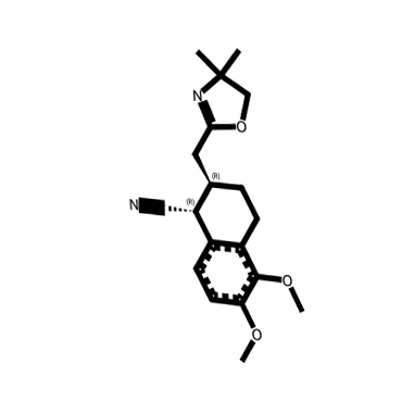 COc1ccc2c(c1OC)CC[C@H](CC1=NC(C)(C)CO1)[C@H]2C#N